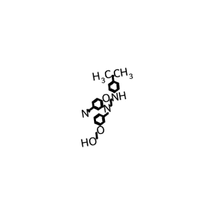 CC(C)c1ccc(NC(=O)CN(Cc2cccc(OCCO)c2)c2cccc(C#N)c2)cc1